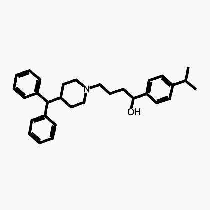 CC(C)c1ccc(C(O)CCCN2CCC(C(c3ccccc3)c3ccccc3)CC2)cc1